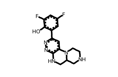 Oc1c(F)cc(F)cc1-c1cc2c(nn1)NCC1CNCCN21